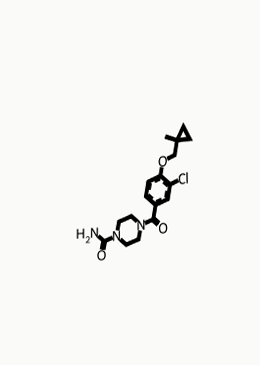 CC1(COc2ccc(C(=O)N3CCN(C(N)=O)CC3)cc2Cl)CC1